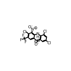 O=[N+]([O-])c1cc(C(F)(F)F)c(Cl)c([N+](=O)[O-])c1Nc1c(Cl)cc(Cl)cc1Cl